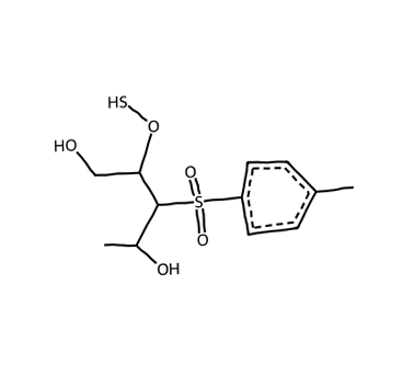 Cc1ccc(S(=O)(=O)C(C(C)O)C(CO)OS)cc1